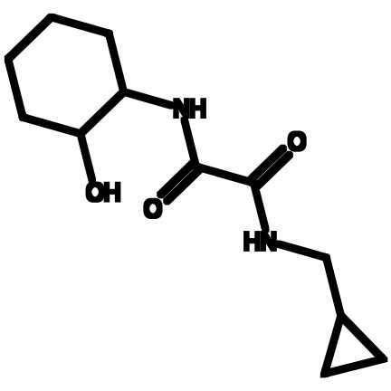 O=C(NCC1CC1)C(=O)NC1CCCCC1O